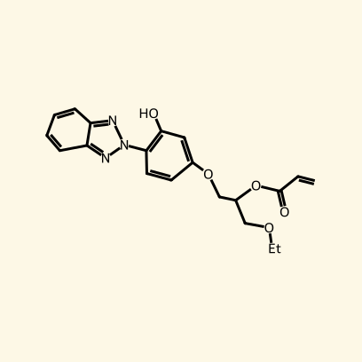 C=CC(=O)OC(COCC)COc1ccc(-n2nc3ccccc3n2)c(O)c1